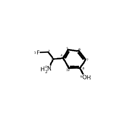 NC(CF)c1cccc(O)c1